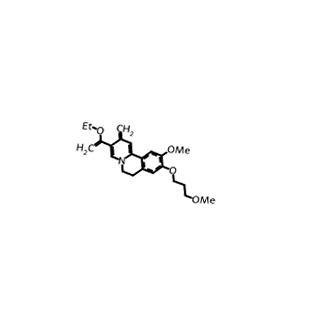 C=C1C=C2c3cc(OC)c(OCCCOC)cc3CCN2C=C1C(=C)OCC